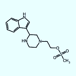 CS(=O)(=O)OCCN1CCNC(c2c[nH]c3ccccc23)C1